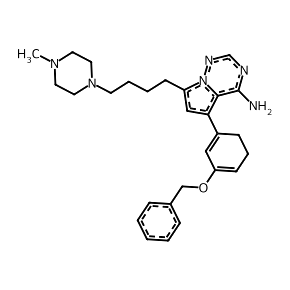 CN1CCN(CCCCc2cc(C3=CC(OCc4ccccc4)=CCC3)c3c(N)ncnn23)CC1